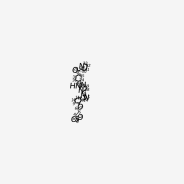 CS(=O)(=O)CCCOc1cccc2c1cnn2-c1ccnc(NC2CCC(C(=O)c3ccccn3)CC2)n1